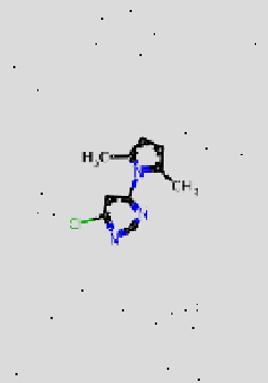 Cc1ccc(C)n1-c1cc(Cl)ncn1